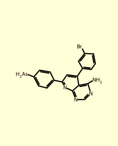 Nc1ncnc2nc(-c3ccc([AsH2])cc3)cc(-c3cccc(Br)c3)c12